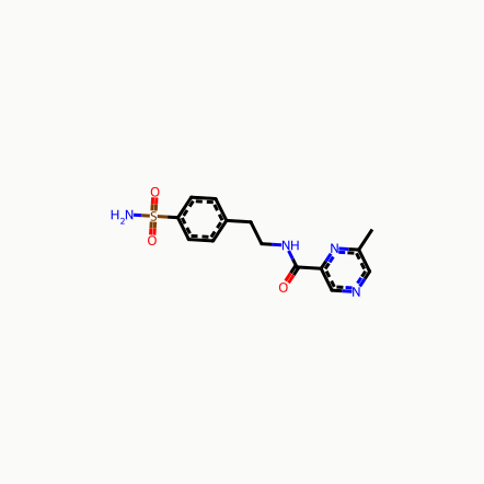 Cc1cncc(C(=O)NCCc2ccc(S(N)(=O)=O)cc2)n1